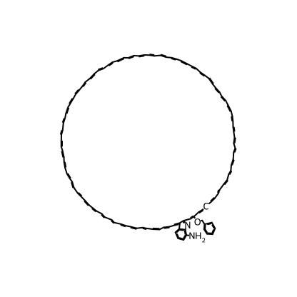 Nc1cccc2c1N=C1C=C(OCc3ccccc3)/C=C/C/C=C/C=C/C=C/C=C/C=C/C=C/C=C/C=C/C=C/C=C\C=C/C=C/C=C/C=C\C=C/C=C/C=C/C=C/C=C/C=C/C=C/C=CC=C/C=C/C=C/C=C/C=C/C=C/C=C/C=C\C=C/C=C/C=C/C=C/C=C\C=C/C=C/C=C/C=C/C=C/C=C/C=C/C=C/C=C/C=C/C=C/C=C12